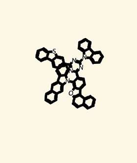 c1ccc2cc3c(cc2c1)c1ccccc1n3-c1c(-c2nc(-c3ccc4c(c3)sc3ccccc34)nc(-n3c4ccccc4c4ccccc43)n2)ccc2c1oc1ccc3ccccc3c12